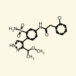 COC(C)c1n[nH]cc1-c1ccc(NC(=O)Cc2ccccc2Cl)cc1S(N)(=O)=O